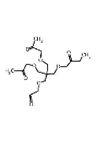 CCC(=O)COCC(COCC=O)(COCC(C)=O)COCC(C)=O